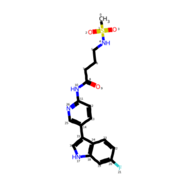 CS(=O)(=O)NCCCC(=O)Nc1ccc(-c2c[nH]c3cc(F)ccc23)cn1